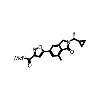 CNC(=O)c1cc(-c2cc(C)c3c(c2)CN([C@@H](C)C2CC2)C3=O)on1